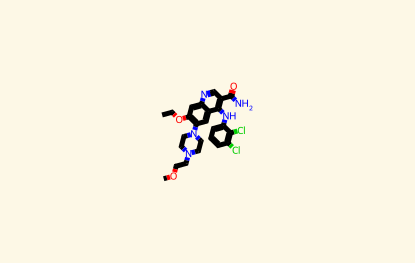 CCOc1cc2ncc(C(N)=O)c(Nc3cccc(Cl)c3Cl)c2cc1N1CCN(CCOC)CC1